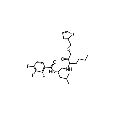 CCCCC(NCC(CC(C)C)NC(=O)c1ccc(F)c(F)c1F)C(=O)CSCc1ccco1